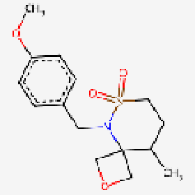 COc1ccc(CN2C3(COC3)C(C)CCS2(=O)=O)cc1